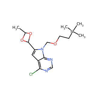 CC1OC(c2cc3c(Cl)ncnc3n2COCC[Si](C)(C)C)O1